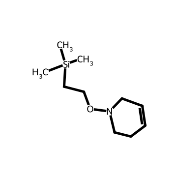 C[Si](C)(C)CCON1CC=CCC1